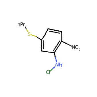 CCCSc1ccc([N+](=O)[O-])c(NCl)c1